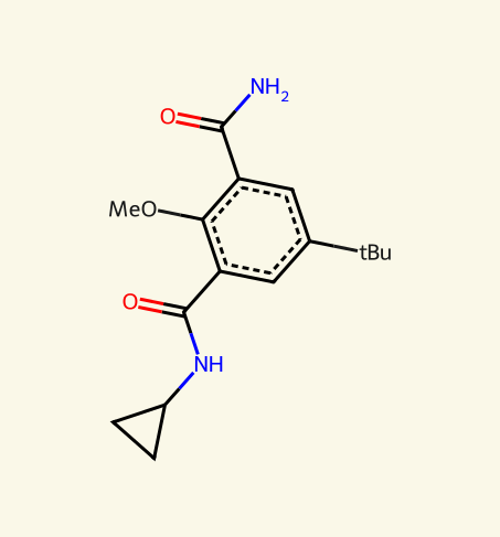 COc1c(C(N)=O)cc(C(C)(C)C)cc1C(=O)NC1CC1